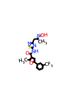 C/C(Cc1nsc(NC(=O)c2cc(-c3cccc(C(F)(F)F)c3)oc2C)n1)=N\O